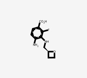 Nc1ccc(C(=O)O)c(F)c1NC[C@@H]1CCO1